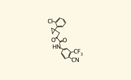 N#Cc1ccc(NC(=O)C(=O)CC2(c3ccccc3Cl)CC2)cc1C(F)(F)F